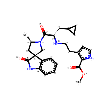 CC(C)(C)OC(=O)c1[nH]ccc1CCN[C@@H](CC1CC1)C(=O)N1C[C@]2(C[C@H]1C#N)C(=O)Nc1ccccc12